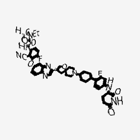 CCN(C)S(=O)(=O)Nc1ccc(F)c(Oc2ccc3ncc([C@H]4COC5(CCN(C6CCC(c7ccc(NC8CCC(=O)NC8=O)cc7F)CC6)CC5)C4)nc3c2)c1C#N